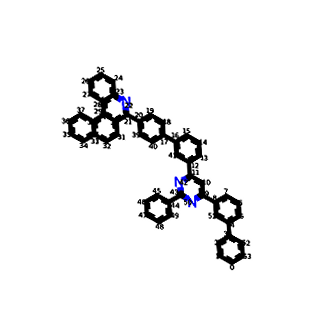 c1ccc(-c2cccc(-c3cc(-c4cccc(-c5ccc(-c6nc7ccccc7c7c6ccc6ccccc67)cc5)c4)nc(-c4ccccc4)n3)c2)cc1